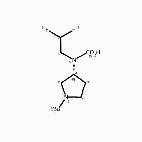 CC(C)(C)N1CC[C@@H](N(CC(F)F)C(=O)O)C1